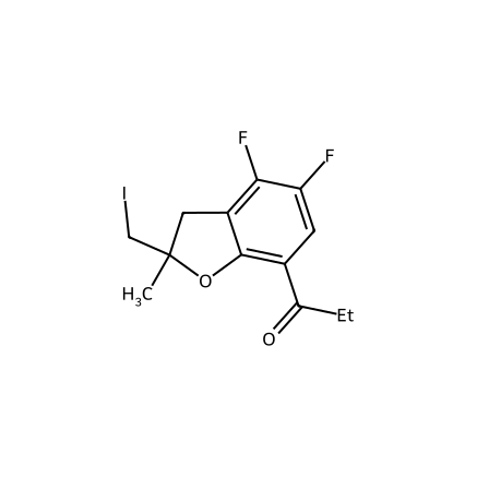 CCC(=O)c1cc(F)c(F)c2c1OC(C)(CI)C2